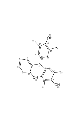 Cc1cc(C(C2=CC=CCC2O)c2cc(C)c(O)c(C)c2)cc(C)c1O